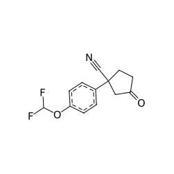 N#CC1(c2ccc(OC(F)F)cc2)CCC(=O)C1